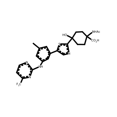 CC(=O)NC1(C(=O)O)CCC(O)(c2ncc(-c3cc(C)cc(Nc4nccc(C(F)(F)F)n4)c3)s2)CC1